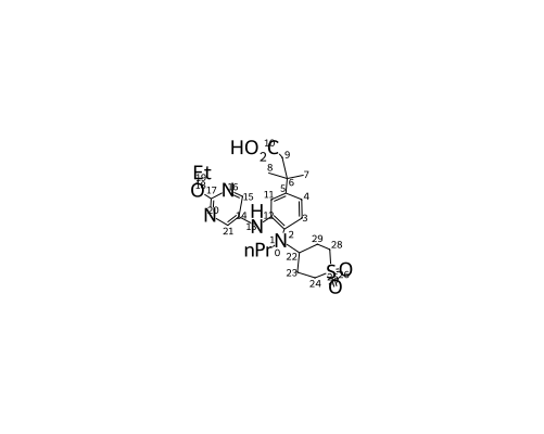 CCCN(c1ccc(C(C)(C)CC(=O)O)cc1Nc1cnc(OCC)nc1)C1CCS(=O)(=O)CC1